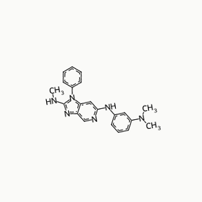 CNc1nc2cnc(Nc3cccc(N(C)C)c3)cc2n1-c1ccccc1